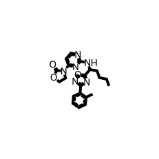 CCCCC(Nc1nccc(N2CCOC2=O)n1)c1nc(-c2ccccc2C)no1